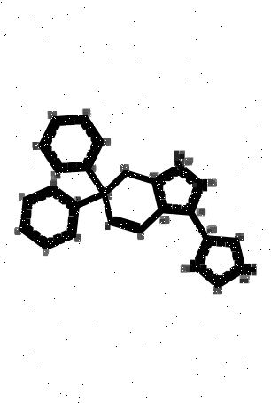 C1=CC(c2ccccc2)(c2ccccc2)Cc2[nH]nc(-c3c[nH]cn3)c21